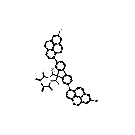 C=C(C)C(=O)OC(C)C1(C(OC(=O)C(=C)C)C(F)(F)F)c2cc(-c3ccc4ccc5cc(C(C)(C)C)cc6ccc3c4c56)ccc2-c2ccc(-c3ccc4ccc5cc(C(C)(C)C)cc6ccc3c4c56)cc21